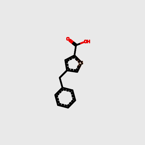 O=C(O)c1cc(Cc2ccccc2)cs1